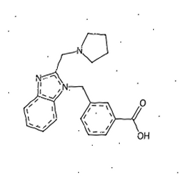 O=C(O)c1cccc(Cn2c(CN3CCCC3)nc3ccccc32)c1